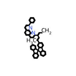 C=C/C=C(\C=C(/C)c1ccc2c(c1)C1(c3ccccc3-c3ccccc31)c1ccccc1-2)c1ccc2ccc3ccc(-c4ccccc4)nc3c2n1